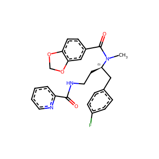 CN(C(=O)c1ccc2c(c1)OCO2)[C@H](CCNC(=O)c1ccccn1)Cc1ccc(F)cc1